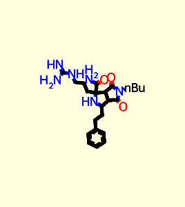 CCCCN1C(=O)C2C(CCc3ccccc3)NC(CCCNC(=N)N)(C(N)=O)C2C1=O